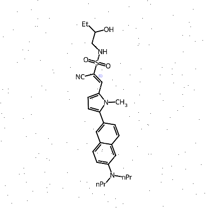 CCCN(CCC)c1ccc2cc(-c3ccc(/C=C(\C#N)S(=O)(=O)NCC(O)CC)n3C)ccc2c1